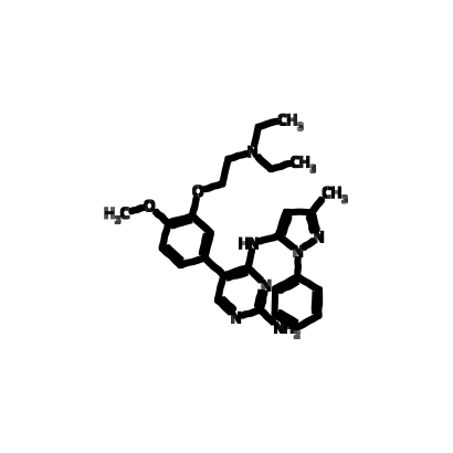 CCN(CC)CCOc1cc(-c2cnc(N)nc2Nc2cc(C)nn2-c2ccccc2)ccc1OC